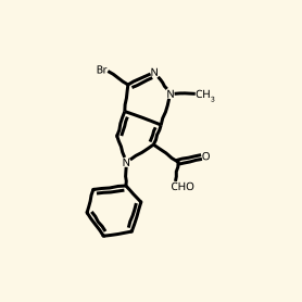 Cn1nc(Br)c2cn(-c3ccccc3)c(C(=O)C=O)c21